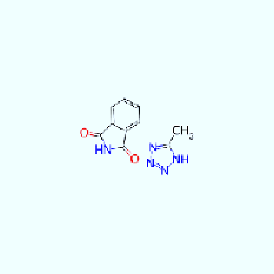 Cc1nnn[nH]1.O=C1NC(=O)c2ccccc21